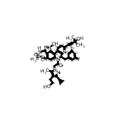 Cc1c(CCO)c(C2CC2)nn1CC(=O)NC(Cc1cc(F)cc(F)c1)c1nc(C#CC(C)(C)O)ccc1-c1ccc(Cl)c2c(NS(C)(=O)=O)nn(C)c12